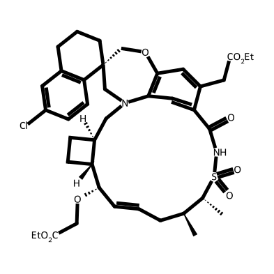 CCOC(=O)CO[C@H]1/C=C/C[C@H](C)[C@@H](C)S(=O)(=O)NC(=O)c2cc3c(cc2CC(=O)OCC)OC[C@]2(CCCc4cc(Cl)ccc42)CN3C[C@@H]2CC[C@H]21